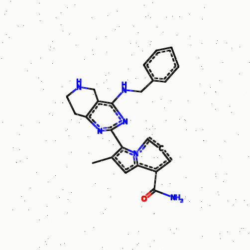 Cc1cc2c(C(N)=O)cccn2c1-c1nc2c(c(NCc3ccccc3)n1)CNCC2